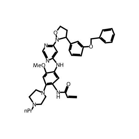 C=CC(=O)Nc1cc(Nc2cc(N3OCCC3c3cccc(OCc4ccccc4)c3)ncn2)c(OC)cc1N1CCN(CCC)CC1